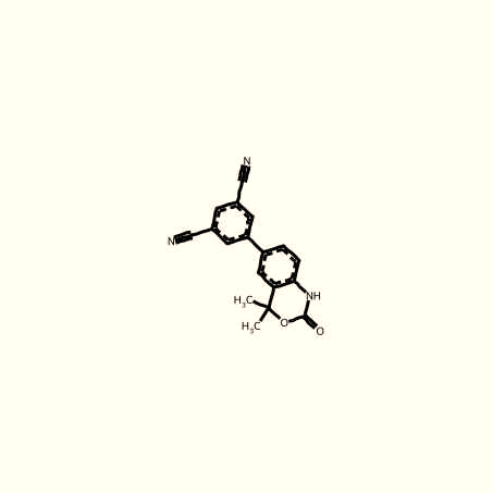 CC1(C)OC(=O)Nc2ccc(-c3cc(C#N)cc(C#N)c3)cc21